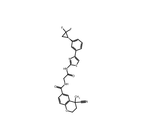 CC1(C#N)CCOc2ccc(C(=O)NCC(=O)Nc3nc(-c4cccc([C@H]5CC5(F)F)c4)cs3)cc21